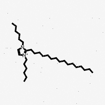 CCCCCCCCCCCCCCCCc1n(CCCCCC)cc[n+]1CCCCCC